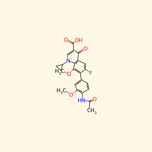 COc1cc(-c2c(F)cc3c(=O)c(C(=O)O)cn(C4CC4)c3c2OC)ccc1NC(C)=O